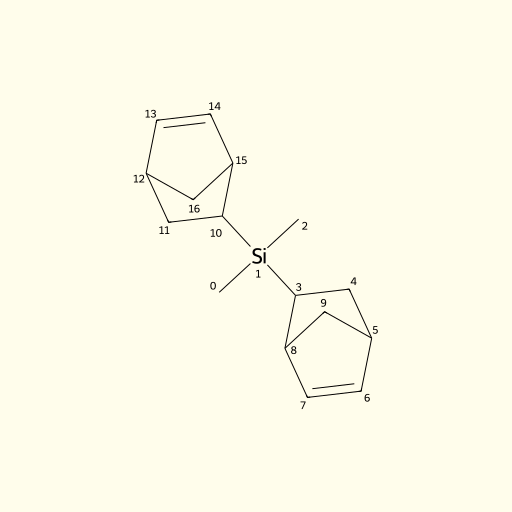 C[Si](C)(C1CC2C=CC1C2)C1CC2C=CC1C2